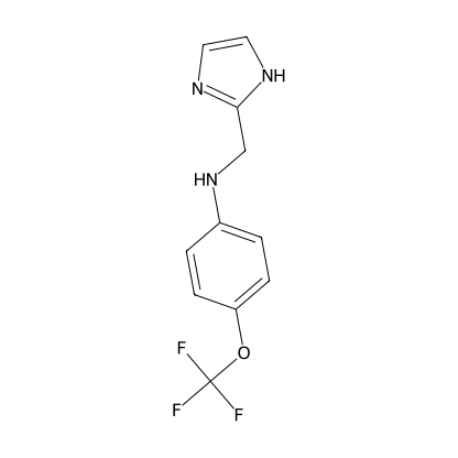 FC(F)(F)Oc1ccc(NCc2ncc[nH]2)cc1